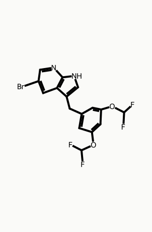 FC(F)Oc1cc(Cc2c[nH]c3ncc(Br)cc23)cc(OC(F)F)c1